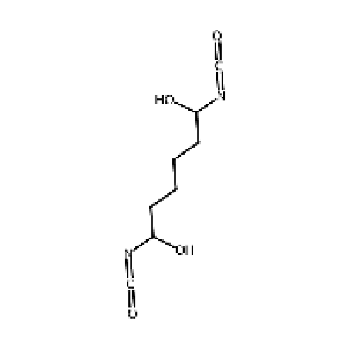 O=C=NC(O)CCCCC(O)N=C=O